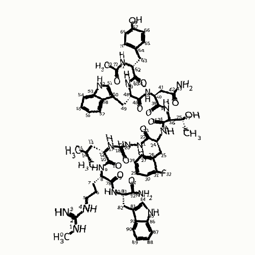 CNC(=N)NCCC[C@H](NC(=O)[C@H](CC(C)C)NC(=O)NNC(=O)[C@H](Cc1ccccc1F)NC(=O)C(NC(=O)[C@H](CC(N)=O)NC(=O)[C@H](Cc1c[nH]c2ccccc12)NC(=O)[C@@H](Cc1ccc(O)cc1)NC(C)=O)[C@@H](C)O)C(=O)N[C@@H](Cc1c[nH]c2ccccc12)C(N)=O